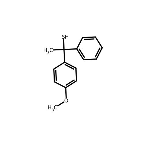 COc1ccc(C(C)(S)c2ccccc2)cc1